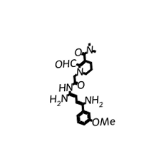 COc1cccc(/C(N)=C/C=C(\N)NC(=O)CN2CCCC(C(=O)N(C)C)=C2C=O)c1